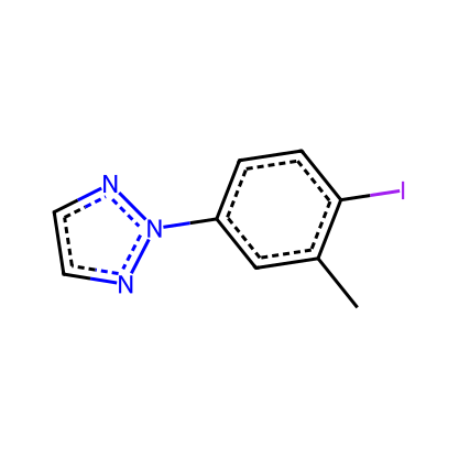 Cc1cc(-n2nccn2)ccc1I